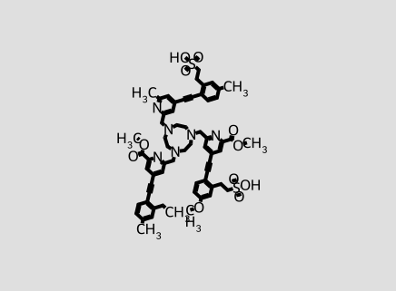 CCc1cc(C)ccc1C#Cc1cc(CN2CCN(Cc3cc(C#Cc4ccc(C)cc4CCS(=O)(=O)O)cc(C)n3)CCN(Cc3cc(C#Cc4ccc(OC)cc4CCS(=O)(=O)O)cc(C(=O)OC)n3)CC2)nc(C(=O)OC)c1